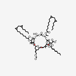 CCC/C=C/C=C/C(=O)O[C@H]1/C(=C/C(=O)OC)C[C@H]2C[C@H](C(C)OC(=O)CCCCCCCC3CC3CC3CC3CCCCC)OC(=O)C[C@H](O)C[C@@H]3C[C@H](OC(=O)CCCCCCCC4CC4CC4CC4CCCCC)C(C)(C)[C@](O)(C[C@@H]4C/C(=C/COC=O)C[C@H](/C=C/C(C)(C)[C@]1(O)O2)O4)O3